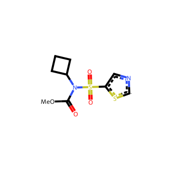 COC(=O)N(C1CCC1)S(=O)(=O)c1cn[c]s1